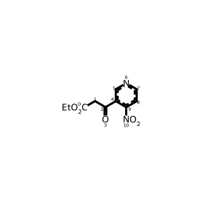 CCOC(=O)CC(=O)c1cnccc1[N+](=O)[O-]